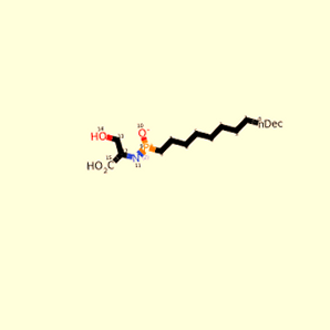 CCCCCCCCCCCCCCCCCC/[P+]([O-])=N/C(CO)C(=O)O